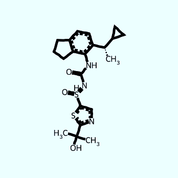 C[C@H](c1ccc2c(c1NC(=O)N=[SH](=O)c1cnc(C(C)(C)O)s1)CCC2)C1CC1